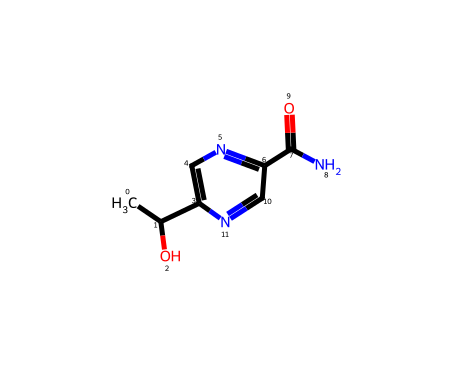 CC(O)c1cnc(C(N)=O)cn1